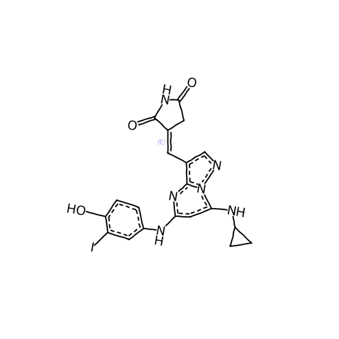 O=C1C/C(=C\c2cnn3c(NC4CC4)cc(Nc4ccc(O)c(I)c4)nc23)C(=O)N1